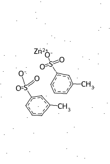 Cc1cccc(S(=O)(=O)[O-])c1.Cc1cccc(S(=O)(=O)[O-])c1.[Zn+2]